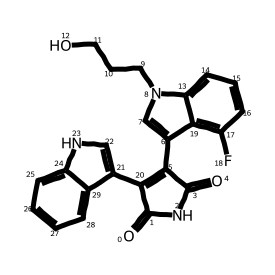 O=C1NC(=O)C(c2cn(CCCO)c3cccc(F)c23)=C1c1c[nH]c2ccccc12